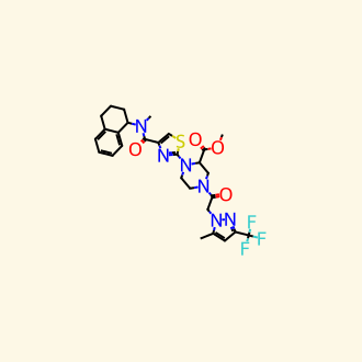 COC(=O)C1CN(C(=O)Cn2nc(C(F)(F)F)cc2C)CCN1c1nc(C(=O)N(C)C2CCCc3ccccc32)cs1